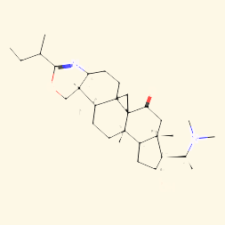 CCC(C)C1=N[C@H]2CCC34CC35C(=O)C[C@]3(C)[C@@H]([C@H](C)N(C)C)[C@H](O)C[C@@]3(C)[C@@H]5CC[C@H]4[C@]2(C)CO1